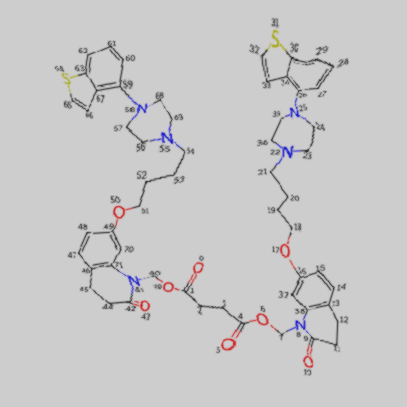 O=C(CCC(=O)OCN1C(=O)CCc2ccc(OCCCCN3CCN(c4cccc5sccc45)CC3)cc21)OCN1C(=O)CCc2ccc(OCCCCN3CCN(c4cccc5sccc45)CC3)cc21